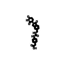 O=C(O)Cc1ccc(NC(=O)NCc2ccc3c(c2)CN(C2CCC(=O)NC2=O)C3=O)cc1